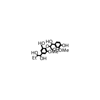 CCC(O)C(O)c1cc(CO)c(OC(CO)C(O)c2ccc(O)c(OC)c2)c(OC)c1